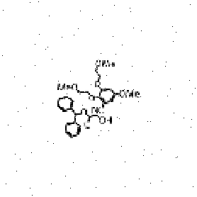 COCCOc1cc(OC)cc(C#N)c1OCCOC.O=C(CO)OC(c1ccccc1)c1ccccc1